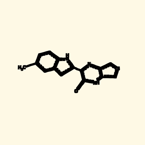 Cc1ccc2[nH]c(-c3nc4cscc4[nH]c3=O)cc2c1